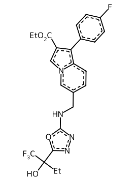 CCOC(=O)c1cn2cc(CNc3nnc(C(O)(CC)C(F)(F)F)o3)ccc2c1-c1ccc(F)cc1